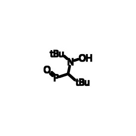 CC(C)(C)C(P=O)N(O)C(C)(C)C